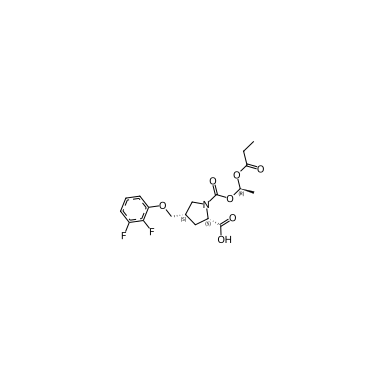 CCC(=O)O[C@@H](C)OC(=O)N1C[C@@H](COc2cccc(F)c2F)C[C@H]1C(=O)O